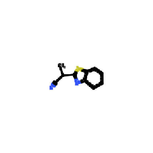 CC(C#N)c1nc2ccccc2s1